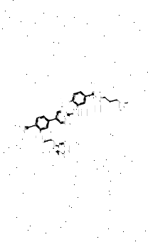 COc1ccc(C(=O)NCCCN(C)C)cc1Nc1ncc(-c2ccc(C#N)c(O[C@@H](C)Cn3cnnn3)c2)cn1